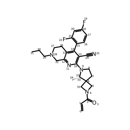 C=CC(=O)N1CC2(CCN(c3nc4c(c(-c5ccc(F)cc5F)c3C#N)CCN(CCC)C4)[C@H]2C)C1